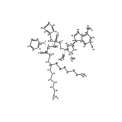 C#C[C@]1(COP(=O)(N[C@@H](Cc2ccccc2)C(=O)OCC(CCCCCCC)CCCCCCC)Oc2ccccc2)O[C@@H](n2cnc3c(N)nc(F)nc32)C[C@@H]1O